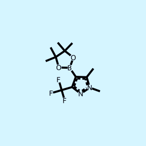 Cc1c(B2OC(C)(C)C(C)(C)O2)c(C(F)(F)F)nn1C